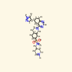 Cc1cc(-c2cnn(C)c2C)cc2c(N3CCc4ccc(S(=O)(=O)N(C)CC5CCN(C)CC5)cc4C3)ncnc12